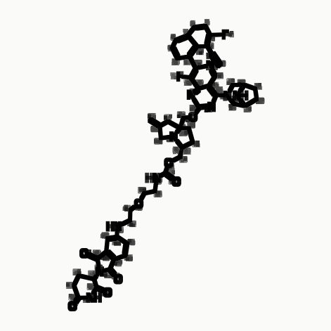 C#Cc1c(F)ccc2cccc(-c3ncc4c(N5CC6CCC(C5)N6)nc(OC[C@@]56CC[C@@H](COC(=O)NCCOCCNc7ccc8c(c7)C(=O)N(C7CCC(=O)NC7=O)C8=O)N5CC(=C)C6)nc4c3F)c12